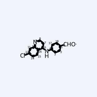 O=[C]c1ccc(Nc2ccnc3cc(Cl)ccc23)cc1